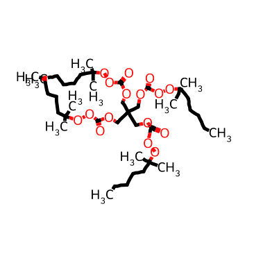 CCCCCC(C)(C)OOC(=O)OCC(COC(=O)OOC(C)(C)CCCCC)(COC(=O)OOC(C)(C)CCCCC)COC(=O)OOC(C)(C)CCCCC